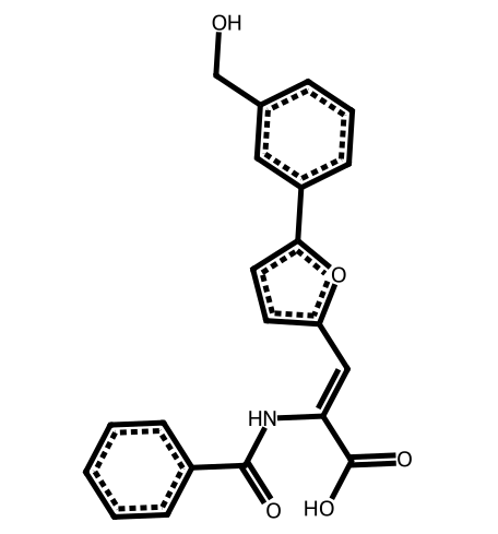 O=C(O)C(=Cc1ccc(-c2cccc(CO)c2)o1)NC(=O)c1ccccc1